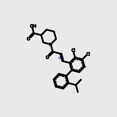 CC(C)c1ccccc1-c1c[c]c(Cl)c(Cl)c1/C=C/C(=O)N1CCCC(C(=O)O)C1